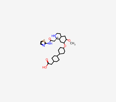 COC1CC2CCN[C@H](CC(=O)Nc3nccs3)C2CC1OC1CCC(C2CCC(CC(=O)O)CC2)CC1